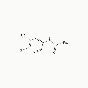 CNC(=O)Nc1ccc(Cl)c(C(F)(F)F)c1